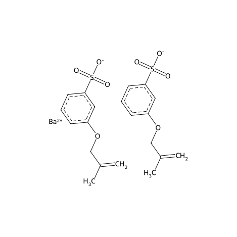 C=C(C)COc1cccc(S(=O)(=O)[O-])c1.C=C(C)COc1cccc(S(=O)(=O)[O-])c1.[Ba+2]